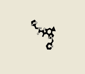 Cc1c(C(=O)NCc2ncco2)oc2c1-c1nn(Cc3ccccn3)cc1C1(CC1)C2